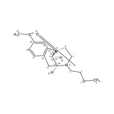 COCCN1CC[C@@]23CC(=O)CC[C@@H]2[C@@H]1Cc1ccc(OC)cc13